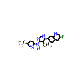 Cc1c(Nc2ccc(C(F)(F)F)cn2)ncnc1-c1ccc2cc(F)cnc2c1